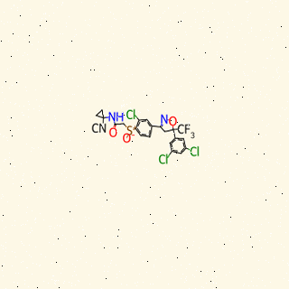 N#CC1(NC(=O)C[S+]([O-])c2ccc(C3=NOC(c4cc(Cl)cc(Cl)c4)(C(F)(F)F)C3)cc2Cl)CC1